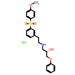 COc1ccc(S(=O)(=O)c2cccc(CCNC[C@H](O)COc3ccccc3)c2)cc1.Cl